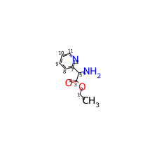 CCOC(=O)C(N)c1ccccn1